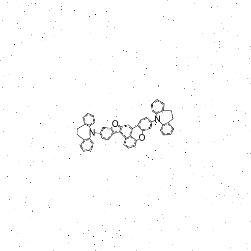 c1ccc2c(c1)CCc1ccccc1N2c1ccc2c(c1)Oc1cccc3c1c-2cc1oc2cc(N4c5ccccc5CCc5ccccc54)ccc2c13